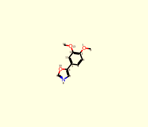 COc1ccc(-c2cn[c]o2)cc1OC